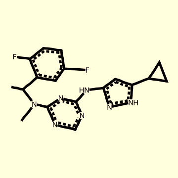 CC(c1cc(F)ccc1F)N(C)c1ncnc(Nc2cc(C3CC3)[nH]n2)n1